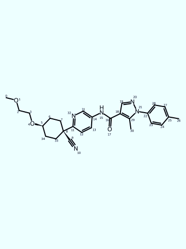 COCCO[C@H]1CC[C@](C#N)(c2ccc(NC(=O)c3cnn(-c4ccc(C)cc4)c3C)cn2)CC1